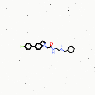 O=C(Cn1ccc2cc(-c3ccc(F)cc3)ccc21)NCCNCC1CCCCC1